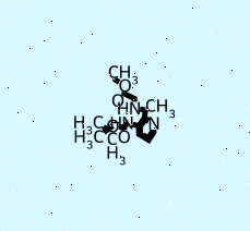 CCOC(=O)CNC(C)c1ncccc1NC(=O)OC(C)(C)C